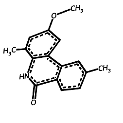 COc1cc(C)c2[nH]c(=O)c3ccc(C)cc3c2c1